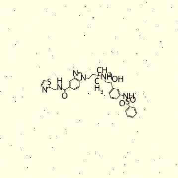 CC(C)(CCn1cnc2cc(C(=O)NCc3nccs3)ccc21)NC[C@H](O)c1cccc(NS(=O)(=O)c2ccccc2)c1